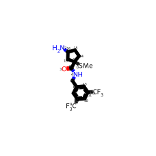 CSC1(C(=O)NCc2cc(C(F)(F)F)cc(C(F)(F)F)c2)CCC(N)C1